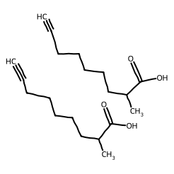 C#CCCCCCC(C)C(=O)O.C#CCCCCCC(C)C(=O)O